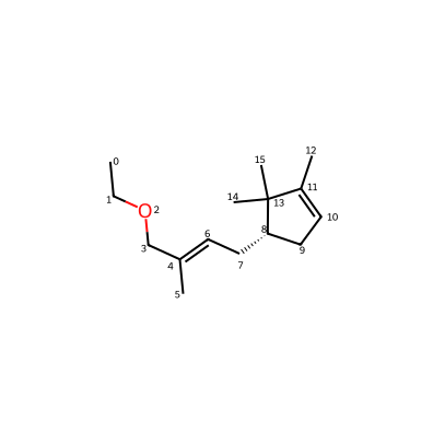 CCOC/C(C)=C/C[C@H]1CC=C(C)C1(C)C